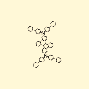 c1ccc(-c2ccc(N(c3ccc(C4CCCCC4)cc3)c3ccc4c(c3)c3ccccc3c3c5ccc(N(c6ccc(-c7ccccc7)cc6)c6ccc(C7CCCCC7)cc6)cc5c5ccccc5c43)cc2)cc1